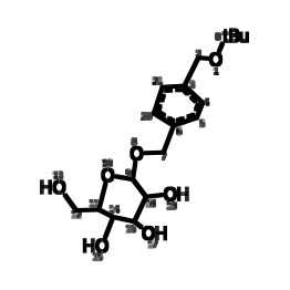 CC(C)(C)OCc1ccc(COC2OC(CO)C(O)C(O)C2O)cc1